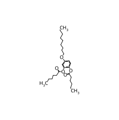 CCCCCCCCCOc1ccc(OC(=O)CCCCC)c(OC(=O)CCCCC)c1